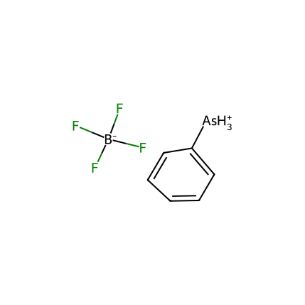 F[B-](F)(F)F.[AsH3+]c1ccccc1